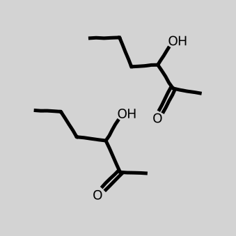 CCCC(O)C(C)=O.CCCC(O)C(C)=O